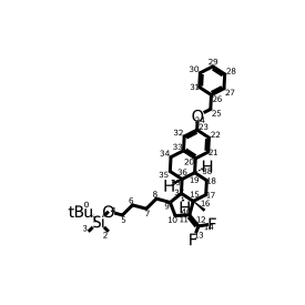 CC(C)(C)[Si](C)(C)OCCCCC1CC(=C(F)F)[C@@]2(C)CC[C@@H]3c4ccc(OCc5ccccc5)cc4CC[C@H]3[C@H]12